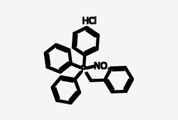 Cl.O=[N+]([O-])P(Cc1ccccc1)(c1ccccc1)(c1ccccc1)c1ccccc1